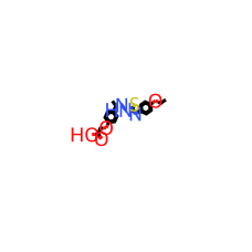 CCOc1ccc2nc(NN=C(C)c3ccc(OCC(=O)O)cc3)sc2c1